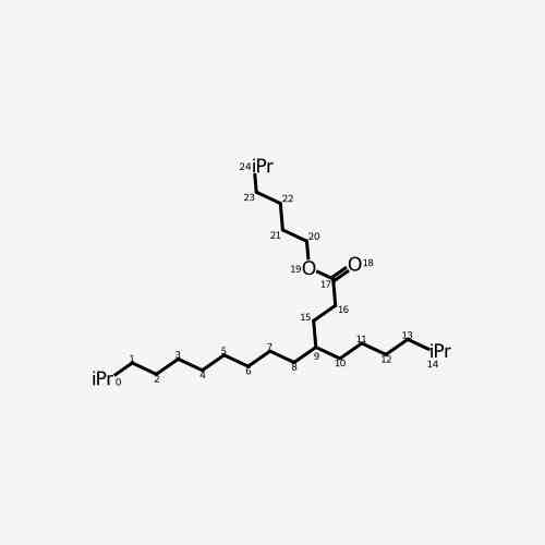 CC(C)CCCCCCCCC(CCCCC(C)C)CCC(=O)OCCCCC(C)C